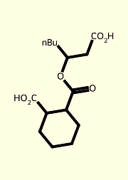 CCCCC(CC(=O)O)OC(=O)C1CCCCC1C(=O)O